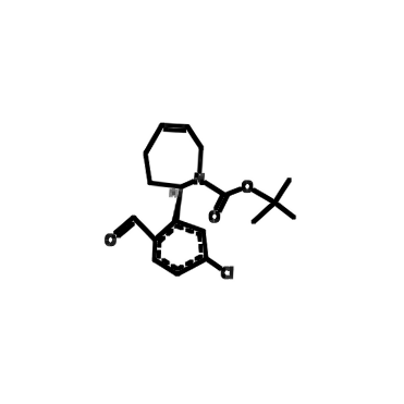 CC(C)(C)OC(=O)N1CC=CCC[C@@H]1c1cc(Cl)ccc1C=O